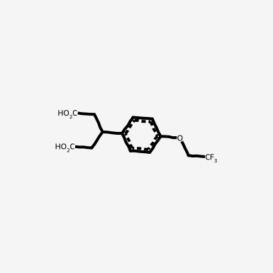 O=C(O)CC(CC(=O)O)c1ccc(OCC(F)(F)F)cc1